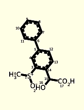 C[S+]([O-])c1cc(-c2ccccc2)ccc1C(O)C(=O)O